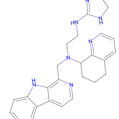 c1cnc2c(c1)CCCC2N(CCNC1=NCCN1)Cc1nccc2c1[nH]c1ccccc12